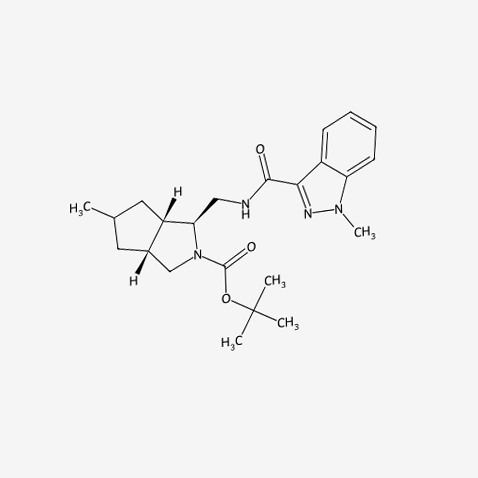 CC1C[C@H]2CN(C(=O)OC(C)(C)C)[C@H](CNC(=O)c3nn(C)c4ccccc34)[C@H]2C1